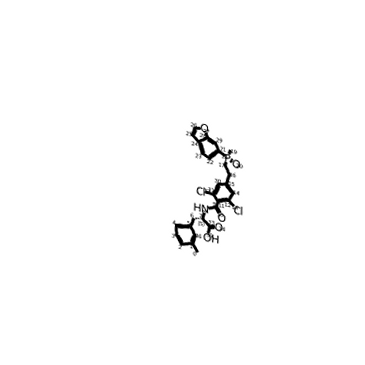 Cc1cccc(C[C@H](NC(=O)c2c(Cl)cc(CCP(C)(=O)c3ccc4ccoc4c3)cc2Cl)C(=O)O)c1